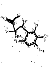 [2H]c1cc([2H])c(C([2H])[C@]([2H])(N)C(C)=O)c([2H])c1O